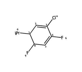 CC(C)C1C=C(Cl)C(F)=CC1F